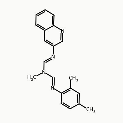 Cc1ccc(N=CN(C)C=Nc2cnc3ccccc3c2)c(C)c1